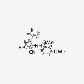 COc1ccc(CNc2c(C#N)c(Br)nn2C(CF)CF)c(OC)c1